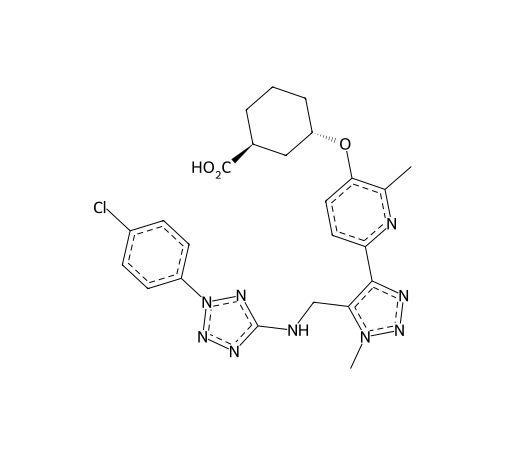 Cc1nc(-c2nnn(C)c2CNc2nnn(-c3ccc(Cl)cc3)n2)ccc1O[C@H]1CCC[C@H](C(=O)O)C1